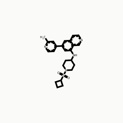 Cc1cc(-c2cc(NC3CCN(S(=O)(=O)C4CCC4)CC3)c3cnccc3c2)ccn1